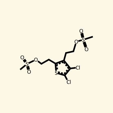 CS(=O)(=O)OCCc1sc(Cl)c(Cl)c1CCOS(C)(=O)=O